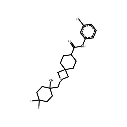 N#CC1(CN2CC3(CCC(C(=O)Nc4cccc(Cl)c4)CC3)C2)CCC(F)(F)CC1